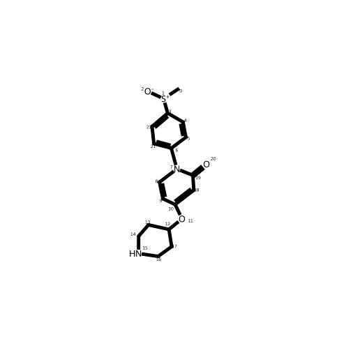 C[S+]([O-])c1ccc(-n2ccc(OC3CCNCC3)cc2=O)cc1